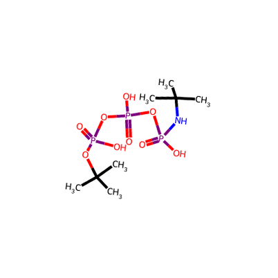 CC(C)(C)NP(=O)(O)OP(=O)(O)OP(=O)(O)OC(C)(C)C